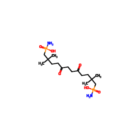 CC(C)(CCC(=O)CCC(=O)CCC(C)(C)CP(N)(=O)O)CP(N)(=O)O